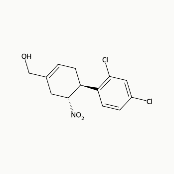 O=[N+]([O-])[C@@H]1CC(CO)=CC[C@H]1c1ccc(Cl)cc1Cl